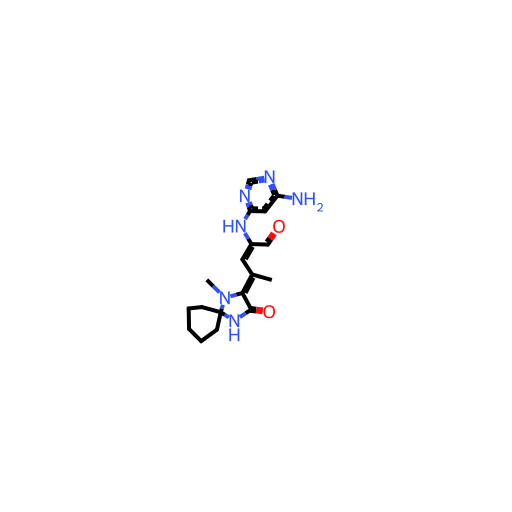 CC(/C=C(\C=O)Nc1cc(N)ncn1)=C1\C(=O)NC2(CCCCC2)N1C